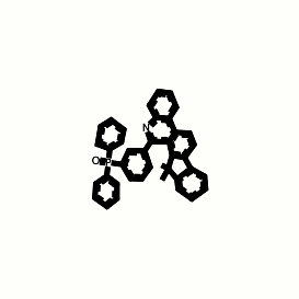 CC1(C)c2ccccc2-c2ccc3c(c(-c4cccc(P(=O)(c5ccccc5)c5ccccc5)c4)nc4ccccc43)c21